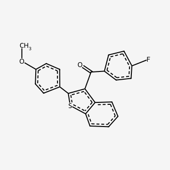 COc1ccc(-c2sc3ccccc3c2C(=O)c2ccc(F)cc2)cc1